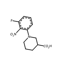 O=C(O)C1CCCN(c2cccc(F)c2[N+](=O)[O-])C1